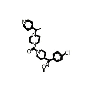 CON=C(c1ccc(Cl)cc1)C1CCN(C(=O)N2CCN([C@H](C)c3ccncc3)CC2)CC1